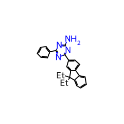 CCC1(CC)c2ccccc2-c2ccc(-c3nc(N)nc(-c4ccccc4)n3)cc21